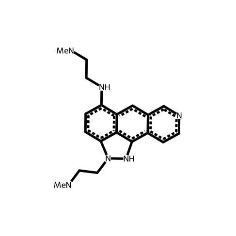 CNCCNc1ccc2c3c(c4ccncc4cc13)NN2CCNC